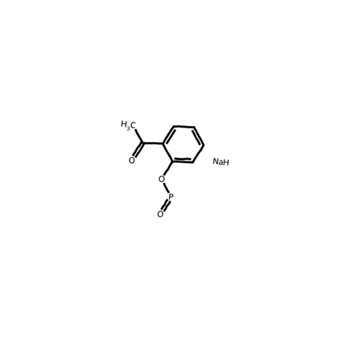 CC(=O)c1ccccc1OP=O.[NaH]